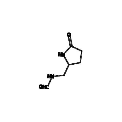 O=CNCC1CCC(=O)N1